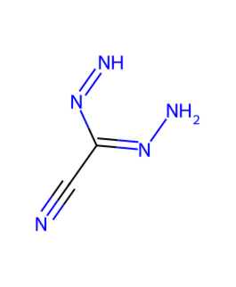 N#CC(N=N)=NN